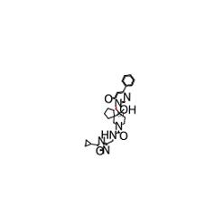 O=C(NCc1noc(C2CC2)n1)N1CC[C@@](O)(Cn2cnc(-c3ccccc3)cc2=O)C2(CCCC2)C1